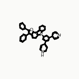 C1=CC(c2cc(-c3ccncc3)cc(-n3c4ccccc4c4c5oc(-c6ccccc6)c(-c6ccccc6)c5ccc43)c2)=CCN1